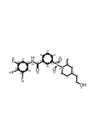 CC1CC(CCO)CCN1S(=O)(=O)c1cccc(C(=O)Nc2cc(F)c(F)c(F)c2)c1